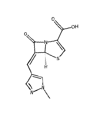 Cn1cc(/C=C2/C(=O)N3C(C(=O)O)=CS[C@@H]23)cn1